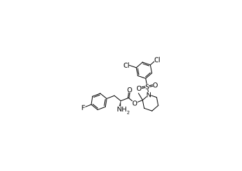 CC1(OC(=O)[C@@H](N)Cc2ccc(F)cc2)CCCCN1S(=O)(=O)c1cc(Cl)cc(Cl)c1